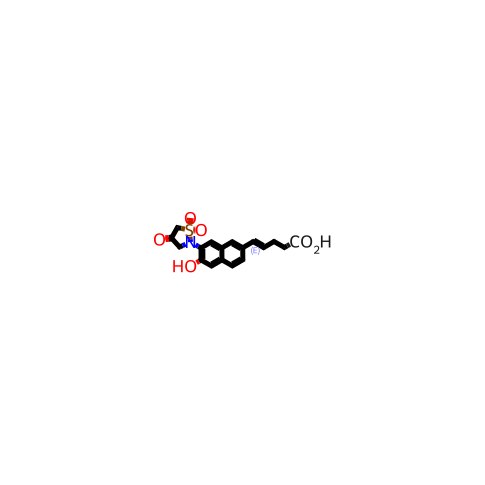 O=C(O)CC/C=C/c1ccc2cc(O)c(N3CC(=O)CS3(=O)=O)cc2c1